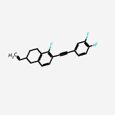 C=CC1CCc2c(ccc(C#Cc3ccc(F)c(F)c3)c2F)C1